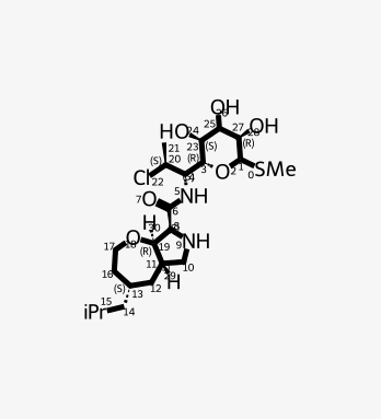 CSC1O[C@H]([C@H](NC(=O)[C@H]2NC[C@@H]3C[C@H](CC(C)C)CCO[C@H]32)[C@H](C)Cl)[C@@H](O)C(O)[C@H]1O